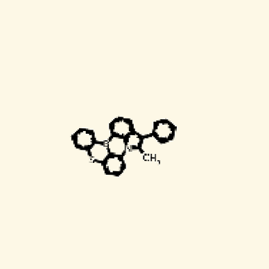 Cc1c(-c2ccccc2)c2cccc3c2n1-c1cccc2c1B3c1ccccc1S2